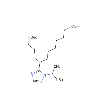 CCCCCCCCCCCCCCCCC(CCCCCCCCCCCCC)c1nccn1C(C)CCCC